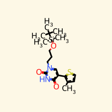 Cc1ccsc1-c1cn(CCCO[Si](C)(C)C(C)(C)C)c(=O)[nH]c1=O